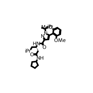 COc1cccc(OC)c1-c1cc(C(=O)N[C@H](CC(=O)NC2CCCC2)CC(C)C)nn1C(C)C(C)C